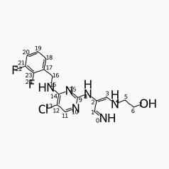 N=C/C(=C\NCCO)Nc1ncc(Cl)c(NCc2cccc(F)c2F)n1